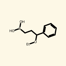 CCOC(CCB(O)O)c1ccccc1